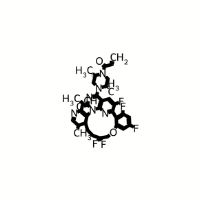 C=CC(=O)N1C[C@H](C)N(c2nc(=O)n3c4nc(c(F)cc24)-c2c(F)cc(F)cc2OCC(F)(F)CCC2C3=C(C(C)C)N=CC2C)C[C@H]1C